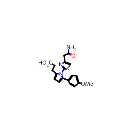 COc1ccc(-c2ccc(CCC(=O)O)n2-c2nc(CC(N)=O)cs2)cc1